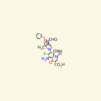 COc1c(N2CCC(N(C=O)OCc3ccccc3)C(C)(C)C2)c(F)c(N)c2c(=O)c(C(=O)O)cn(C3CC3)c12